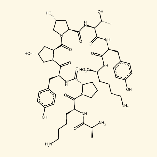 C[C@H](N)C(=O)N[C@@H](CCCCN)C(=O)N1CCC[C@H]1C(=O)N[C@@H](Cc1ccc(O)cc1)C(=O)N1C[C@H](O)C[C@H]1C(=O)N1C[C@H](O)C[C@H]1C(=O)N[C@H](C(=O)N[C@@H](Cc1ccc(O)cc1)C(=O)N[C@@H](CCCCN)C(=O)O)[C@@H](C)O